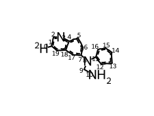 [2H]c1cnc2ccc(N(CN)c3ccccc3)cc2c1